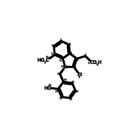 CCc1c(CC(=O)O)c2cccc(C(=O)O)c2n1Cc1ccccc1O